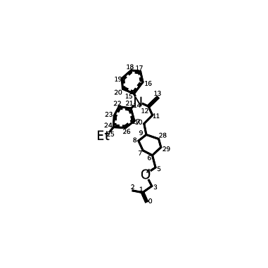 C=C(C)COCC1CCC(CCC(=C)N(c2ccccc2)c2ccc(CC)cc2)CC1